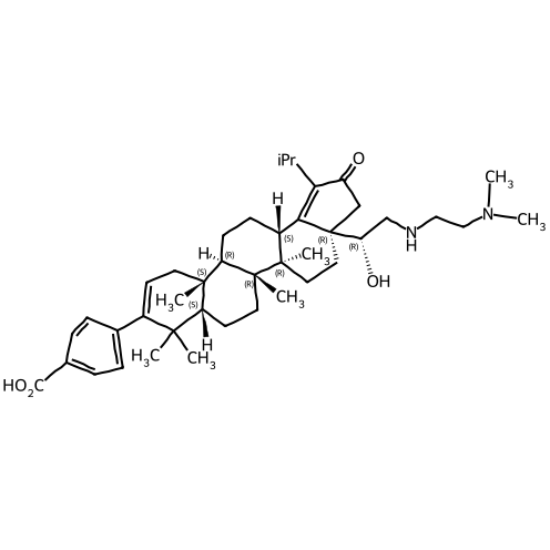 CC(C)C1=C2[C@H]3CC[C@@H]4[C@@]5(C)CC=C(c6ccc(C(=O)O)cc6)C(C)(C)[C@H]5CC[C@@]4(C)[C@]3(C)CC[C@@]2([C@@H](O)CNCCN(C)C)CC1=O